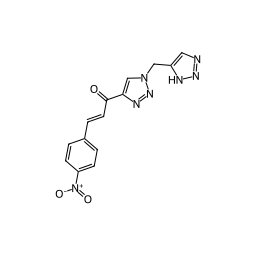 O=C(C=Cc1ccc([N+](=O)[O-])cc1)c1cn(Cc2cnn[nH]2)nn1